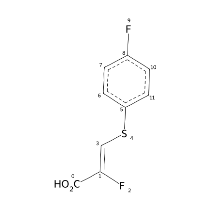 O=C(O)C(F)=CSc1ccc(F)cc1